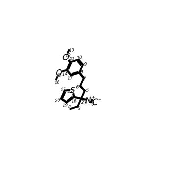 [C-]#[N+]C(CC)(CCCc1ccc(OC)c(OC)c1)c1cccs1